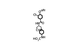 CCCOc1ccc(C(=O)N[C@H](CC=O)Cc2ccc(NC(=O)O)cc2)cc1Cl